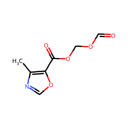 Cc1ncoc1C(=O)OCOC=O